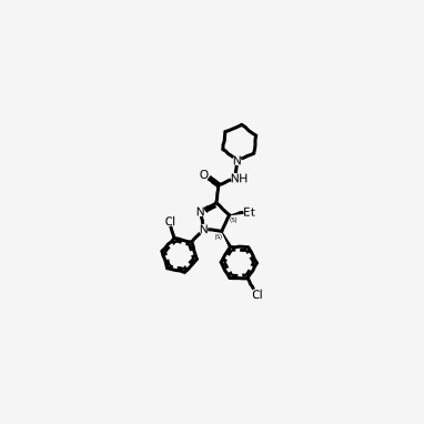 CC[C@@H]1C(C(=O)NN2CCCCC2)=NN(c2ccccc2Cl)[C@@H]1c1ccc(Cl)cc1